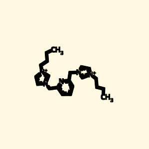 CCCC[n+]1ccn(Cc2cccc(Cn3cc[n+](CCCC)c3)n2)c1